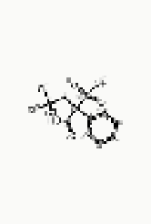 O=C(O)C(CC(Cl)(Cl)Cl)(c1ccccc1)S(=O)(=O)O